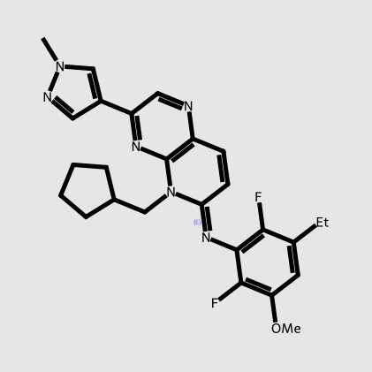 CCc1cc(OC)c(F)c(/N=c2\ccc3ncc(-c4cnn(C)c4)nc3n2CC2CCCC2)c1F